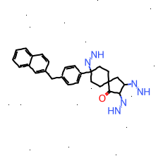 N=NC1CC2(CCC(N=N)(c3ccc(Cc4ccc5ccccc5c4)cc3)CC2)C(=O)C1N=N